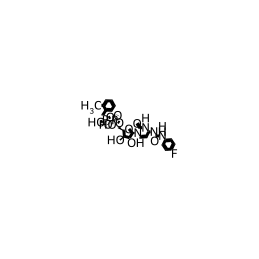 Cc1ccccc1CP(=O)(O)OP(=O)(O)OC[C@H]1O[C@@H](N2C=CC(NC(=O)Nc3ccc(F)cc3)NC2=O)C(O)[C@H]1O